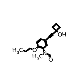 CCCOc1ccc(C#CC2(O)CCC2)cc1N(C)C=O